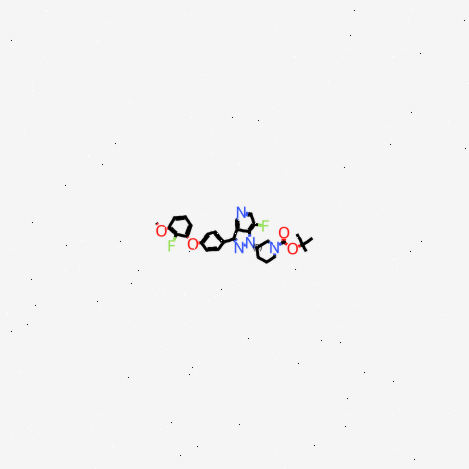 COc1cccc(Oc2ccc(-c3nn([C@@H]4CCCN(C(=O)OC(C)(C)C)C4)c4c(F)cncc34)cc2)c1F